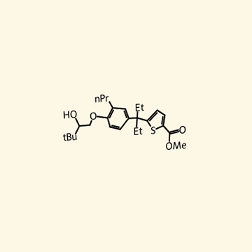 CCCc1cc(C(CC)(CC)c2ccc(C(=O)OC)s2)ccc1OCC(O)C(C)(C)C